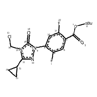 CC(C)(C)OC(=O)c1cc(F)c(-n2nc(C3CC3)n(CCl)c2=O)cc1F